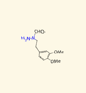 COc1ccc(CCN(N)[C]=O)cc1OC